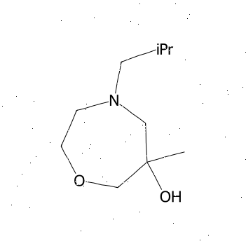 CC(C)CN1CCOCC(C)(O)C1